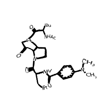 CCC(C)C(NC(C)=O)C(=O)N1CC(=O)C2C1CCN2C(=O)C(CC(C)C)NC(=O)c1ccc(N(C)C)cc1